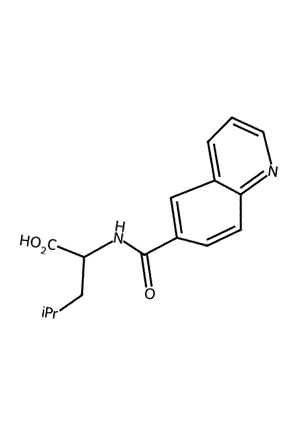 CC(C)CC(NC(=O)c1ccc2ncccc2c1)C(=O)O